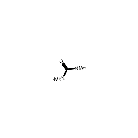 C[N]C(=O)NC